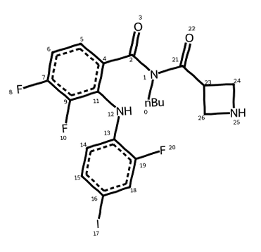 CCCCN(C(=O)c1ccc(F)c(F)c1Nc1ccc(I)cc1F)C(=O)C1CNC1